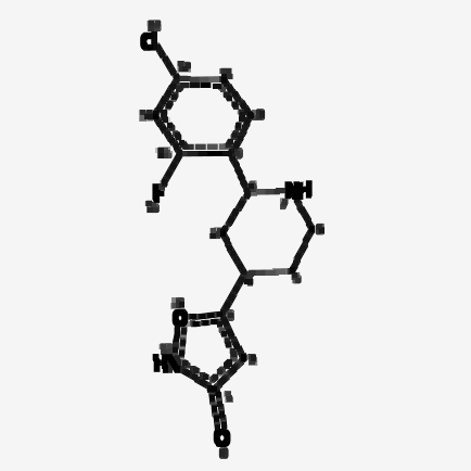 O=c1cc(C2CCNC(c3ccc(Cl)cc3F)C2)o[nH]1